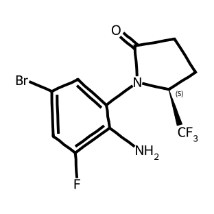 Nc1c(F)cc(Br)cc1N1C(=O)CC[C@H]1C(F)(F)F